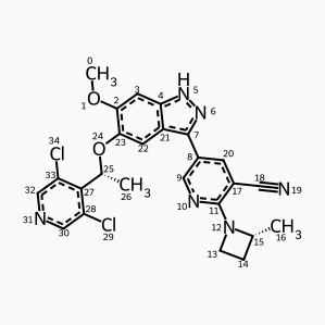 COc1cc2[nH]nc(-c3cnc(N4CC[C@H]4C)c(C#N)c3)c2cc1O[C@H](C)c1c(Cl)cncc1Cl